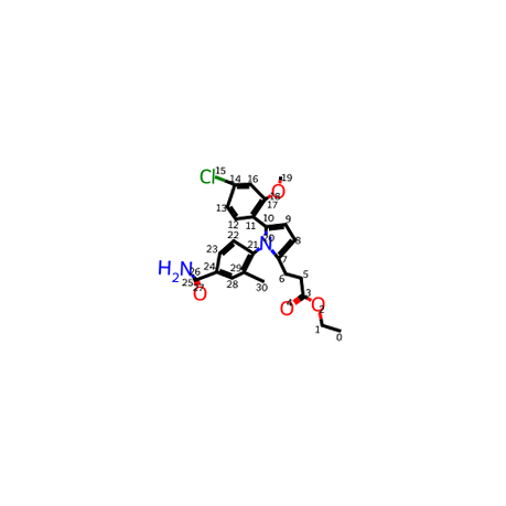 CCOC(=O)CCc1ccc(-c2ccc(Cl)cc2OC)n1-c1ccc(C(N)=O)cc1C